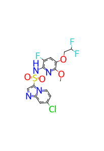 COc1nc(NS(=O)(=O)c2cnc3cc(Cl)ccn23)c(F)cc1OCC(F)F